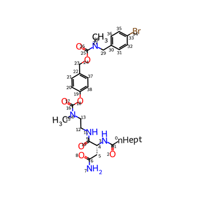 CCCCCCCC(=O)N[C@H](CC(N)=O)C(=O)NCCN(C)C(=O)Oc1ccc(COC(=O)N(C)Cc2ccc(Br)cc2)cc1